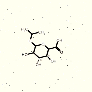 CC(C)OC1OC(C(=O)O)[C@@H](O)[C@H](O)C1O